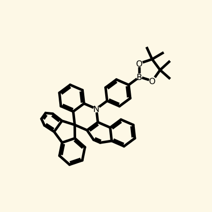 CC1(C)OB(c2ccc(N3c4ccccc4C4(c5ccccc5-c5ccccc54)c4ccc5ccccc5c43)cc2)OC1(C)C